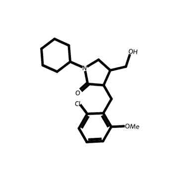 COc1cccc(Cl)c1CC1C(=O)N(C2CCCCC2)CC1CO